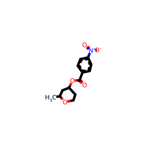 CC1CC(OC(=O)c2ccc([N+](=O)[O-])cc2)CCO1